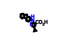 O=C(O)c1cc(C2CC2)cnc1Nc1ccc2c(c1)Cc1ccccc1-2